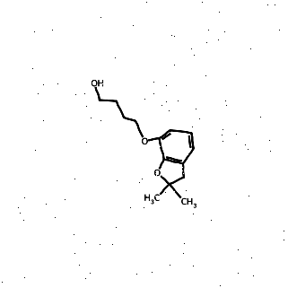 CC1(C)Cc2cccc(OCCCCO)c2O1